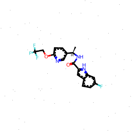 C[C@@H](NC(=O)c1cc2ccc(F)cc2[nH]1)c1ccc(OCC(F)(F)F)nc1